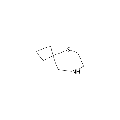 C1CC2(C1)CNCCS2